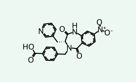 O=C(O)c1ccc(CN2C(=O)c3ccc([N+](=O)[O-])cc3NC(=O)[C@H]2Cc2cccnc2)cc1